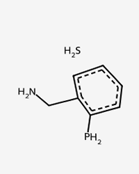 NCc1ccccc1P.S